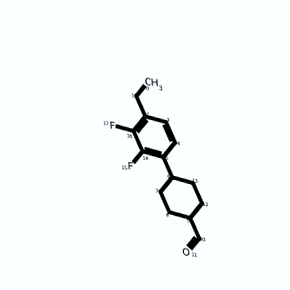 CCc1ccc(C2CCC(C=O)CC2)c(F)c1F